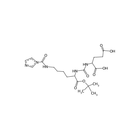 CC(C)(C)OC(=O)C(CCCCNC(=O)n1ccnc1)NC(=O)NC(CCC(=O)O)C(=O)O